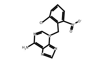 Nc1ncn(Cc2c(Cl)cccc2[N+](=O)[O-])c2ncnc1-2